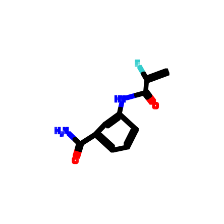 C=C(F)C(=O)Nc1cccc(C(N)=O)c1